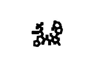 Cc1nc(NNC(=O)C(CC2CCCC2)CN(C=O)OS(C)(=O)=O)c(F)c(N2CCN3CCOC[C@@H]3C2)n1